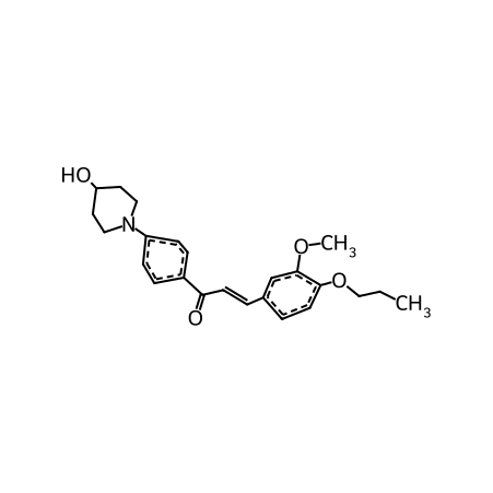 CCCOc1ccc(C=CC(=O)c2ccc(N3CCC(O)CC3)cc2)cc1OC